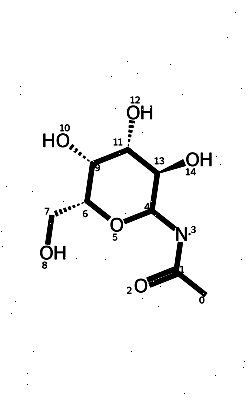 CC(=O)[N]C1O[C@H](CO)[C@H](O)[C@H](O)[C@H]1O